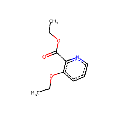 CCOC(=O)c1ncccc1OCC